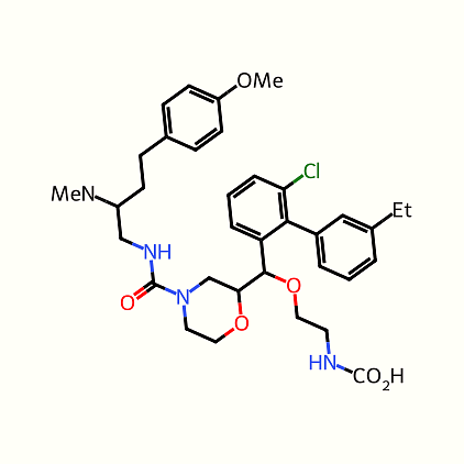 CCc1cccc(-c2c(Cl)cccc2C(OCCNC(=O)O)C2CN(C(=O)NCC(CCc3ccc(OC)cc3)NC)CCO2)c1